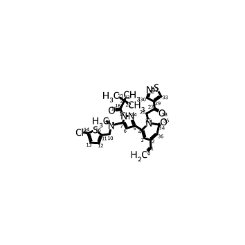 C=Cc1cc(-c2cc(N(C)Cc3ccc(Cl)s3)n(C(=O)C(C)(C)C)n2)n(CC(=O)c2cnsc2)c(=O)c1